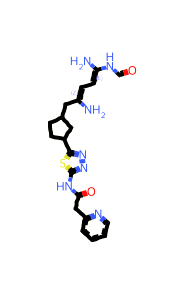 N/C(=C\C=C(/N)NC=O)CC1CCC(c2nnc(NC(=O)Cc3ccccn3)s2)C1